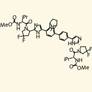 COC(=O)N[C@H](C(=O)N1CC(F)(F)CC1c1ncc(-c2ccc(-c3ccc(-c4cnc([C@@H]5CC(F)(F)CN5C(=O)[C@@H](NC(=O)OC)C(C)C)[nH]4)cc3)c3c2C2CCC3N2C)[nH]1)C(C)C